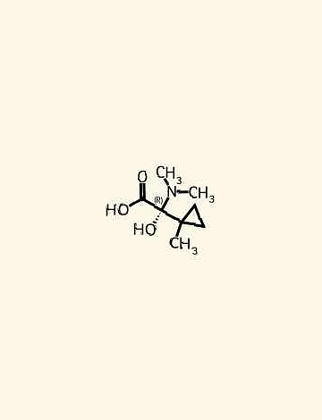 CN(C)[C@](O)(C(=O)O)C1(C)CC1